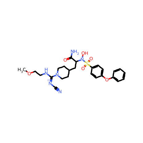 COCCN/C(=N/C#N)N1CCC(CC(C(N)=O)N(O)S(=O)(=O)c2ccc(Oc3ccccc3)cc2)CC1